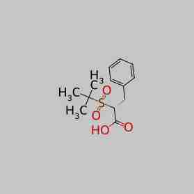 CC(C)(C)S(=O)(=O)[C@H](Cc1ccccc1)C(=O)O